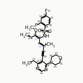 C=N/C(OC)=C(\C=C(/C)C#Cc1c(CC)ncnc1N1CCOCC1)NS(=O)(=O)c1ccc(F)cc1F